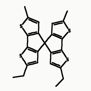 CCc1cc2c(s1)-c1sc(C)cc1C21c2cc(C)sc2-c2sc(CC)cc21